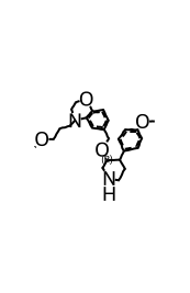 COCCCN1CCOc2ccc(CO[C@H]3CNCCC3c3ccc(OC)cc3)cc21